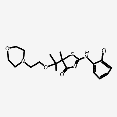 CC(C)(OCCN1CCOCC1)C1(C)SC(Nc2ccccc2Cl)=NC1=O